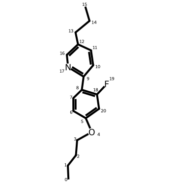 CCCCOc1ccc(-c2ccc(CCC)cn2)c(F)c1